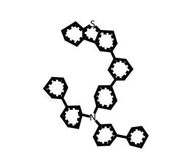 c1ccc(-c2cccc(N(c3ccc(-c4cccc(-c5ccc6sc7ccccc7c6c5)c4)cc3)c3cccc(-c4ccccc4)c3)c2)cc1